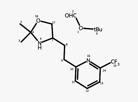 CC(C)(C)OC=O.CC1(C)NC(CCc2cccc(C(F)(F)F)n2)CO1